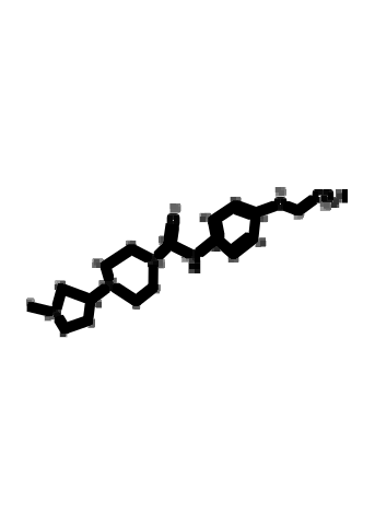 CN1CCC(N2CCN(C(=O)Nc3ccc(OCC(=O)O)cc3)CC2)C1